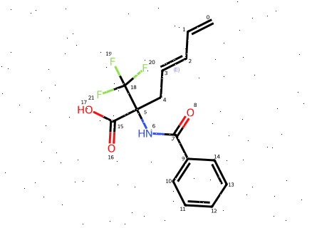 C=C/C=C/CC(NC(=O)c1ccccc1)(C(=O)O)C(F)(F)F